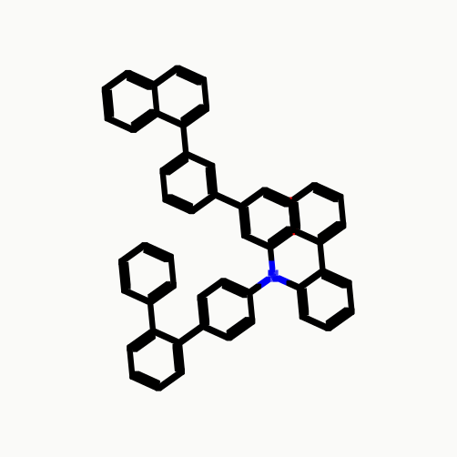 c1ccc(-c2ccccc2-c2ccc(N(c3cccc(-c4cccc(-c5cccc6ccccc56)c4)c3)c3ccccc3-c3ccccc3)cc2)cc1